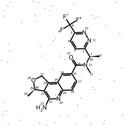 C[C@H](c1ccc(C(F)(F)F)nn1)N(C)C(=O)c1ccc2nc(N)c3c(c2c1)CO[C@@H]3C